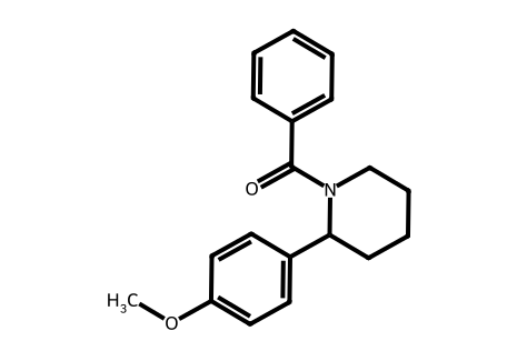 COc1ccc(C2CCCCN2C(=O)c2ccccc2)cc1